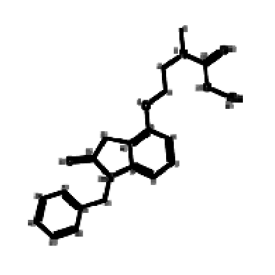 CN(CCOc1cccc2c1CC(=O)N2Cc1ccccc1)C(=O)OC(C)(C)C